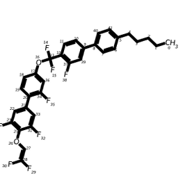 CCCCCc1ccc(-c2ccc(C(F)(F)Oc3ccc(-c4cc(F)c(OC=C(F)F)c(F)c4)c(F)c3)c(F)c2)cc1